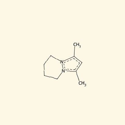 Cc1cc(C)[n+]2n1CCCC2